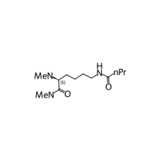 CCCC(=O)NCCCC[C@H](NC)C(=O)NC